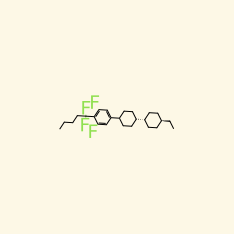 CCCCC(F)(F)c1c(F)cc(C2CCC([C@H]3CC[C@H](CC)CC3)CC2)cc1F